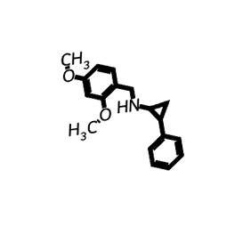 COc1ccc(CNC2CC2c2ccccc2)c(OC)c1